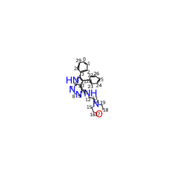 c1ccc(-c2[nH]c3ncnc(NCCN4CCOCC4)c3c2-c2ccccc2)cc1